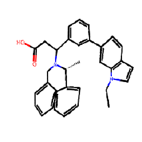 CCn1ccc2ccc(-c3cccc(C(CC(=O)O)N(Cc4ccccc4)[C@H](C)c4ccccc4)c3)cc21